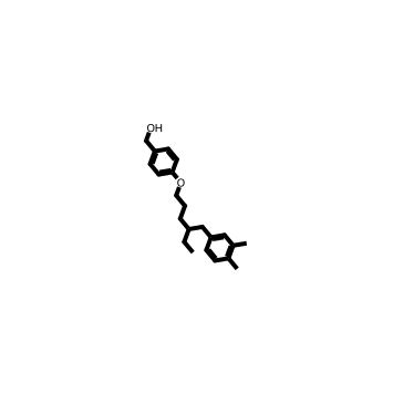 CCC(CCCOc1ccc(CO)cc1)Cc1ccc(C)c(C)c1